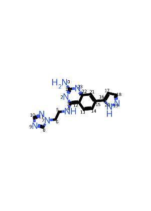 Nc1nc(NCCn2cncn2)c2ccc(-c3ccn[nH]3)cc2n1